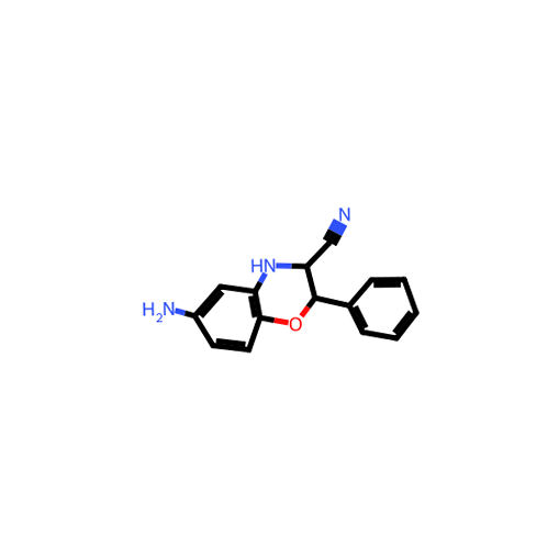 N#CC1Nc2cc(N)ccc2OC1c1ccccc1